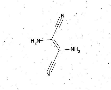 N#C/C(N)=C(\N)C#N